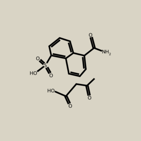 CC(=O)CC(=O)O.NC(=O)c1cccc2c(S(=O)(=O)O)cccc12